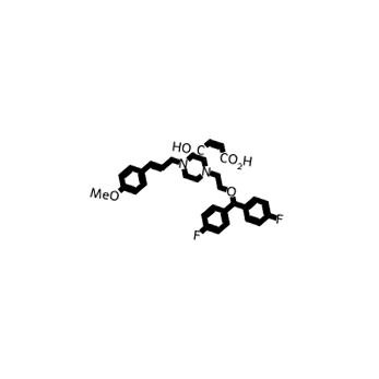 COc1ccc(C=CCN2CCN(CCOC(c3ccc(F)cc3)c3ccc(F)cc3)CC2)cc1.O=C(O)/C=C\C(=O)O